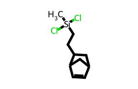 C[Si](Cl)(Cl)CCC1CC2C=CC1C2